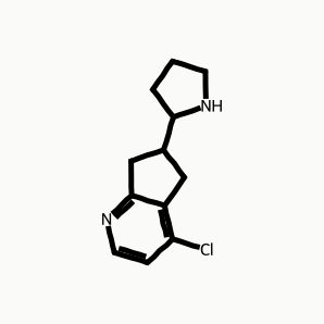 Clc1ccnc2c1CC(C1CCCN1)C2